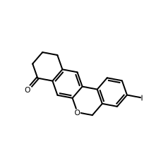 O=C1CCCc2cc3c(cc21)OCc1cc(I)ccc1-3